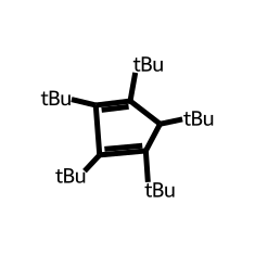 CC(C)(C)C1=C(C(C)(C)C)C(C(C)(C)C)C(C(C)(C)C)=C1C(C)(C)C